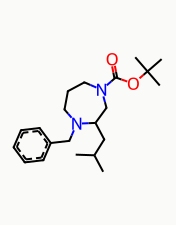 CC(C)CC1CN(C(=O)OC(C)(C)C)CCCN1Cc1ccccc1